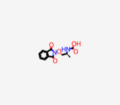 C[C@@H](CON1C(=O)c2ccccc2C1=O)NC(=O)O